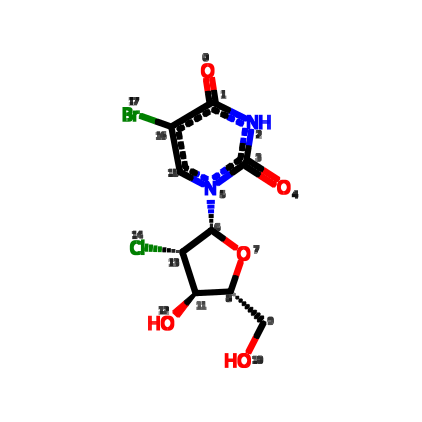 O=c1[nH]c(=O)n([C@@H]2O[C@H](CO)[C@@H](O)[C@@H]2Cl)cc1Br